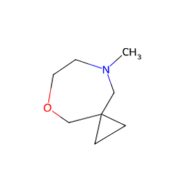 CN1CCOCC2(CC2)C1